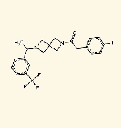 CC(c1cccc(C(F)(F)F)c1)N1CC2(CN(C(=O)Cc3ccc(F)cc3)C2)C1